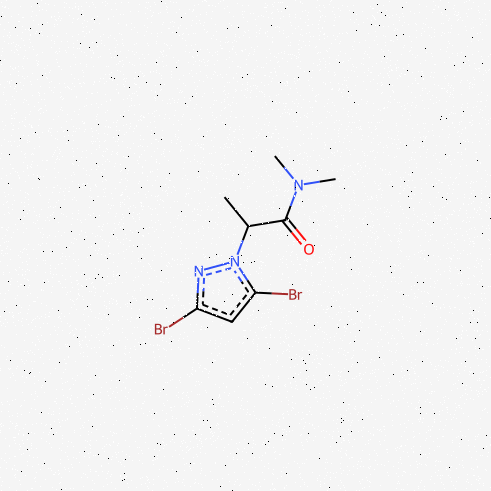 CC(C(=O)N(C)C)n1nc(Br)cc1Br